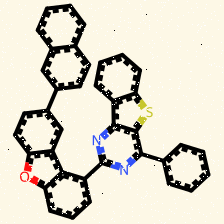 c1ccc(-c2nc(-c3cccc4oc5ccc(-c6ccc7ccccc7c6)cc5c34)nc3c2sc2ccccc23)cc1